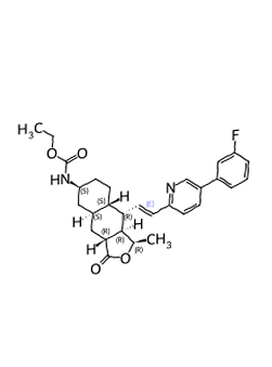 CCOC(=O)N[C@H]1CC[C@H]2[C@H](C1)C[C@H]1C(=O)O[C@H](C)[C@@H]1[C@H]2/C=C/c1ccc(-c2cccc(F)c2)cn1